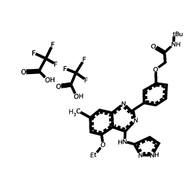 CCOc1cc(C)cc2nc(-c3cccc(OCC(=O)NC(C)(C)C)c3)nc(Nc3cc[nH]n3)c12.O=C(O)C(F)(F)F.O=C(O)C(F)(F)F